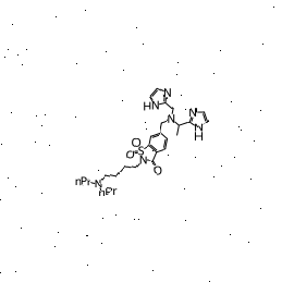 CCCN(CCC)CCCCN1C(=O)c2ccc(CN(Cc3ncc[nH]3)C(C)c3ncc[nH]3)cc2S1(=O)=O